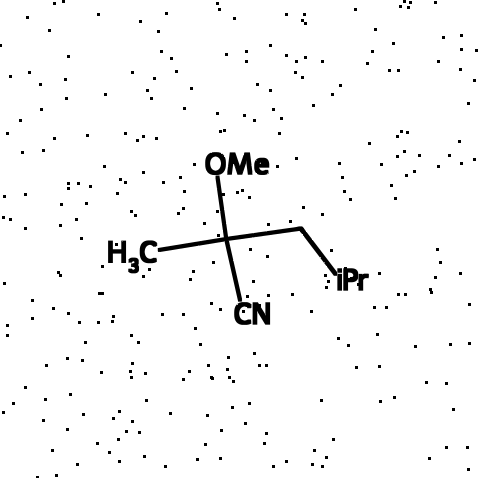 COC(C)(C#N)CC(C)C